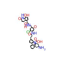 COc1cc(NC(=O)CCc2ccc(-c3ccccc3)c(N(C(=O)O)C3(C)CCC(N)CC3)c2)c(Cl)cc1CNC[C@H](O)c1ccc(O)c2[nH]c(=O)ccc12